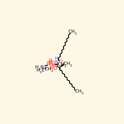 CC#C/C(=C\CCCCCCCCCCCCC)[C@@H](O)C(C)(COP(=O)(O)OCC[N+](C)(C)C)NC(=O)CCCCCCCCCCCCCCC